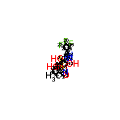 Cc1conc1[C@H]([SH]1C[C@H](O)[C@H](n2cc(-c3cc(F)c(F)c(F)c3)nn2)[C@@H](O)[C@H]1CO)C1(O)CCCCC1